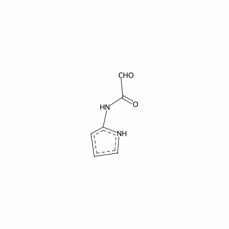 O=CC(=O)Nc1ccc[nH]1